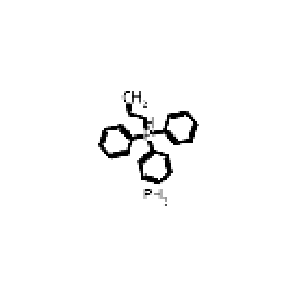 C=CC[PH](c1ccccc1)(c1ccccc1)c1ccccc1.P